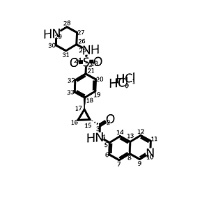 Cl.Cl.O=C(Nc1ccc2cnccc2c1)[C@@H]1C[C@H]1c1ccc(S(=O)(=O)NC2CCNCC2)cc1